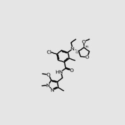 CCN(c1cc(Cl)cc(C(=O)NCc2c(C)nn(C)c2OC)c1C)[C@H]1COC[C@@H]1OC